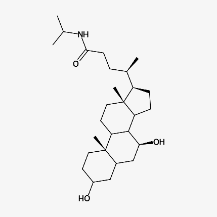 CC(C)NC(=O)CC[C@@H](C)[C@H]1CCC2C3C(CC[C@@]21C)[C@@]1(C)CCC(O)CC1C[C@@H]3O